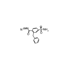 [N-]=[N+]=NC(=O)c1ccc(S(N)(=O)=O)cc1Cc1ccccc1